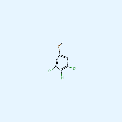 CSc1cc(Cl)c(Cl)c(Cl)c1